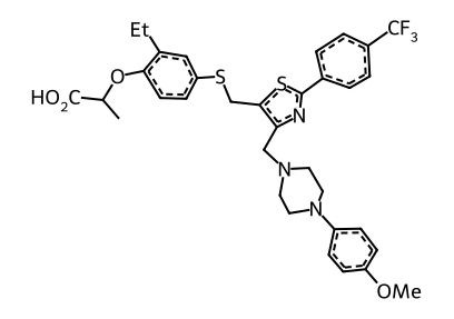 CCc1cc(SCc2sc(-c3ccc(C(F)(F)F)cc3)nc2CN2CCN(c3ccc(OC)cc3)CC2)ccc1OC(C)C(=O)O